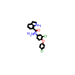 NN(C(=O)c1cccc2cc[nH]c12)c1ccc(Oc2ccc(Cl)cc2)c(Cl)c1